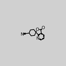 N#CC1CCC2(CC1)OC(=O)c1cccnc12